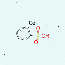 O=S(=O)(O)c1ccccc1.[Ce]